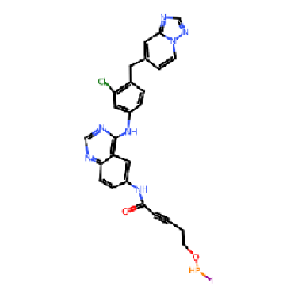 O=C(C#CCCOPI)Nc1ccc2ncnc(Nc3ccc(Cc4ccn5ncnc5c4)c(Cl)c3)c2c1